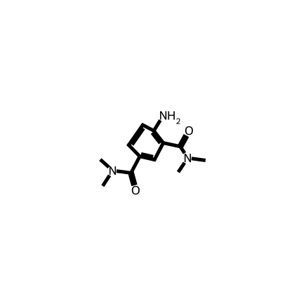 CN(C)C(=O)c1ccc(N)c(C(=O)N(C)C)c1